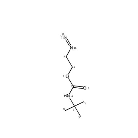 CC(C)(C)NC(=O)OCCN=N